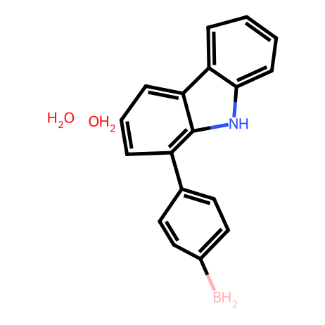 Bc1ccc(-c2cccc3c2[nH]c2ccccc23)cc1.O.O